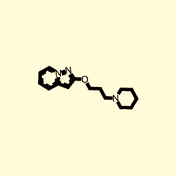 c1ccn2nc(OCCCN3CCCCC3)cc2c1